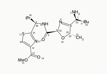 CC[C@H](C)[C@H](N)C1=N[C@H](C(=O)N[C@@H](c2nc(C(=O)OC)cs2)C(C)C)O[C@H]1C